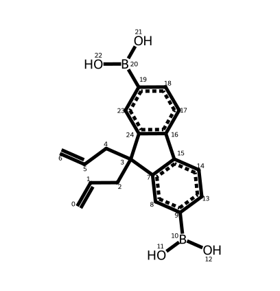 C=CCC1(CC=C)c2cc(B(O)O)ccc2-c2ccc(B(O)O)cc21